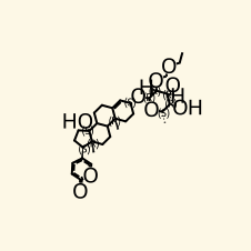 CCOC1O[C@@H]2[C@H](O)[C@H](C)O[C@@H](O[C@@H]3C=C4CCC5C(CC[C@]6(C)[C@@H](c7ccc(=O)oc7)CC[C@]56O)[C@@]4(C)CC3)[C@@H]2O1